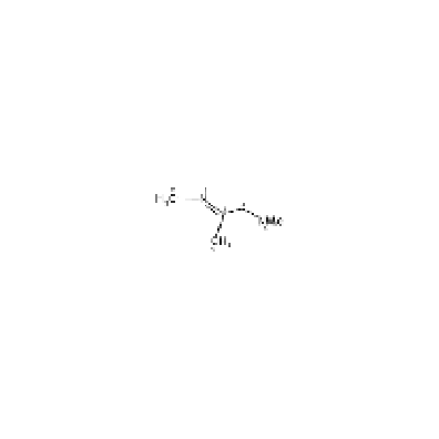 C/N=C(\C)CNC